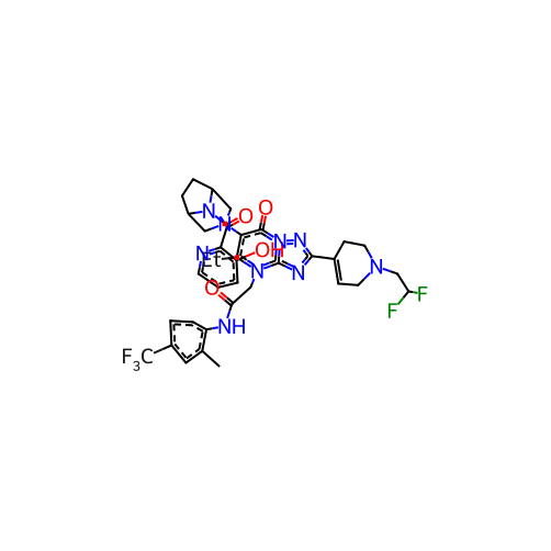 CCc1c(N2CC3CCC(C2)N3C(=O)c2ncccc2O)c(=O)n2nc(C3=CCN(CC(F)F)CC3)nc2n1CC(=O)Nc1ccc(C(F)(F)F)cc1C